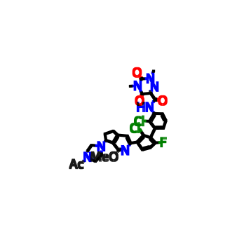 COc1nc(-c2ccc(F)c(-c3cccc(NC(=O)c4nn(C)c(=O)n(C)c4=O)c3Cl)c2Cl)cc2c1C(N1CCN(C(C)=O)CC1)CC2